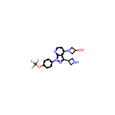 OC1CN(c2ccnc3c2c(C2CNC2)nn3-c2ccc(OC(F)(F)F)cc2)C1